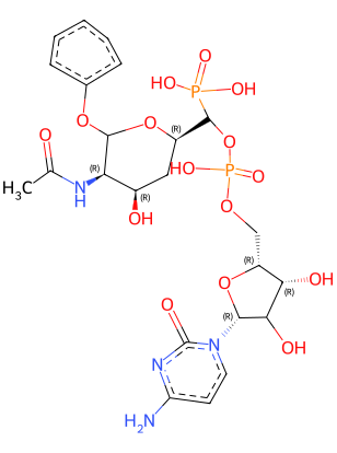 CC(=O)N[C@H]1C(Oc2ccccc2)O[C@@H](C(OP(=O)(O)OC[C@H]2O[C@@H](n3ccc(N)nc3=O)C(O)[C@H]2O)P(=O)(O)O)C[C@H]1O